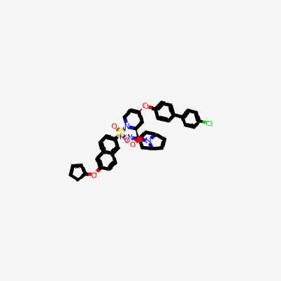 NC1CC2CCC(C1)N2C(=O)[C@@H]1C[C@@H](Oc2ccc(-c3ccc(Cl)cc3)cc2)CCN1S(=O)(=O)c1ccc2cc(OC3CCCC3)ccc2c1